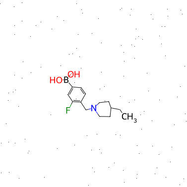 CCC1CCN(Cc2ccc(B(O)O)cc2F)CC1